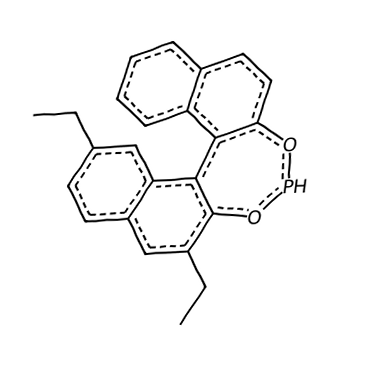 CCc1ccc2cc(CC)c3o[pH]oc4ccc5ccccc5c4c3c2c1